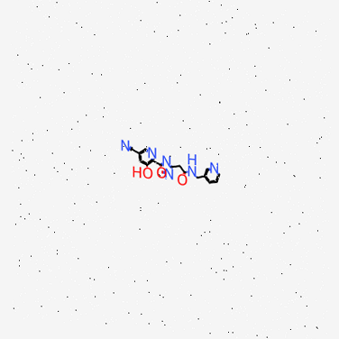 N#Cc1cnc(-c2nc(CC(=O)NCc3cccnc3)no2)c(O)c1